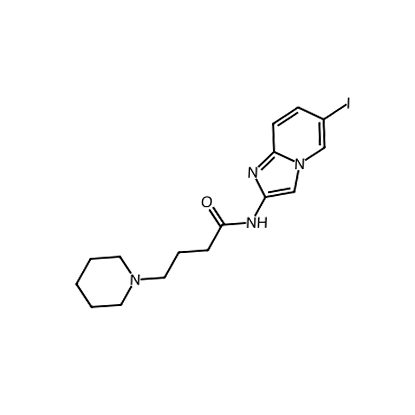 O=C(CCCN1CCCCC1)Nc1cn2cc(I)ccc2n1